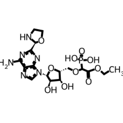 CCOC(=O)C(OC[C@H]1O[C@@H](n2cnc3c(N)nc([C@H]4NCCO4)nc32)[C@H](O)[C@@H]1O)P(=O)(O)O